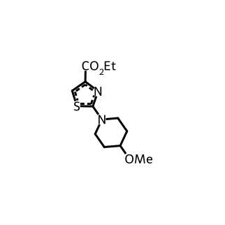 CCOC(=O)c1csc(N2CCC(OC)CC2)n1